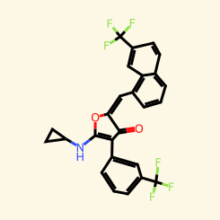 O=C1C(=Cc2cccc3ccc(C(F)(F)F)cc23)OC(NC2CC2)=C1c1cccc(C(F)(F)F)c1